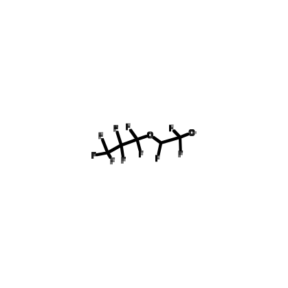 [O]C(F)(F)C(F)OC(F)(F)C(F)(F)C(F)(F)F